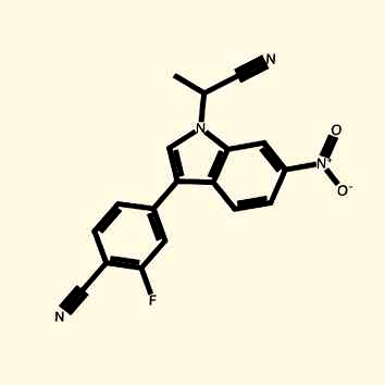 CC(C#N)n1cc(-c2ccc(C#N)c(F)c2)c2ccc([N+](=O)[O-])cc21